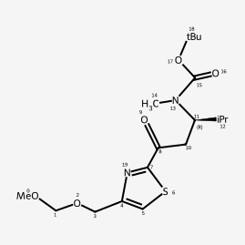 COCOCc1csc(C(=O)C[C@H](C(C)C)N(C)C(=O)OC(C)(C)C)n1